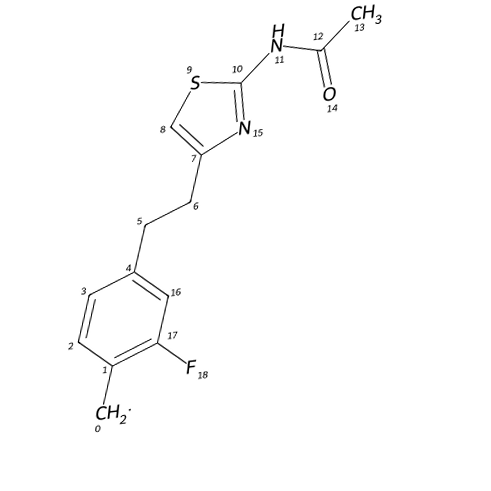 [CH2]c1ccc(CCc2csc(NC(C)=O)n2)cc1F